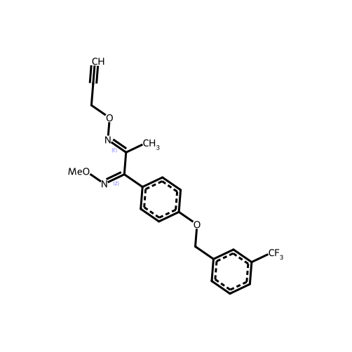 C#CCO/N=C(C)/C(=N\OC)c1ccc(OCc2cccc(C(F)(F)F)c2)cc1